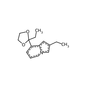 CCc1cc2c(C3(CC)OCCO3)cccn2c1